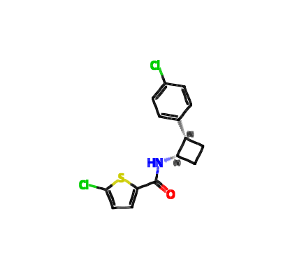 O=C(N[C@H]1CC[C@H]1c1ccc(Cl)cc1)c1ccc(Cl)s1